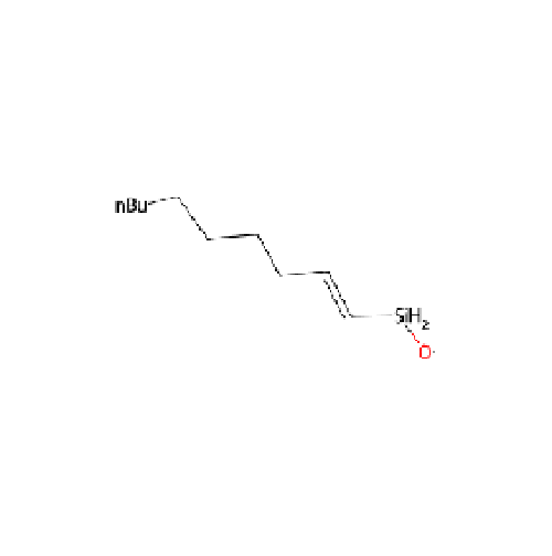 CCCCCCCCC=C[SiH2][O]